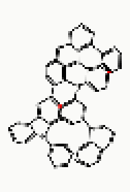 c1ccc(-c2cccc3cccc(-c4ccccc4N(c4cccc(-c5cccc6ccccc56)c4)c4ccccc4-c4ccc5c(c4)c4ccccc4n5-c4ccccc4)c23)cc1